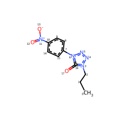 CCCn1nnn(-c2ccc([N+](=O)[O-])cc2)c1=O